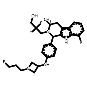 CC1Cc2c([nH]c3c(F)cccc23)C(c2ccc(NC3CN(CCCF)C3)cc2)N1CC(F)(F)CO